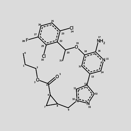 CCCOC(=O)C1CC1Cn1cc(-c2cnc(N)c(OC(C)c3c(Cl)ccc(F)c3Cl)c2)cn1